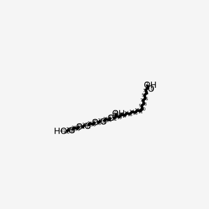 O=C(O)CCCCCCC/C=C\CCCCCCCCC(O)COCCOCCOCCOCCOCCOCCO